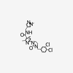 Cc1nc(N2CCN(Cc3ccc(Cl)c(Cl)c3)C2=O)sc1C(=O)NCc1cnn(C)c1